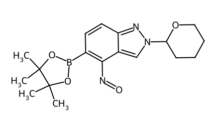 CC1(C)OB(c2ccc3nn(C4CCCCO4)cc3c2N=O)OC1(C)C